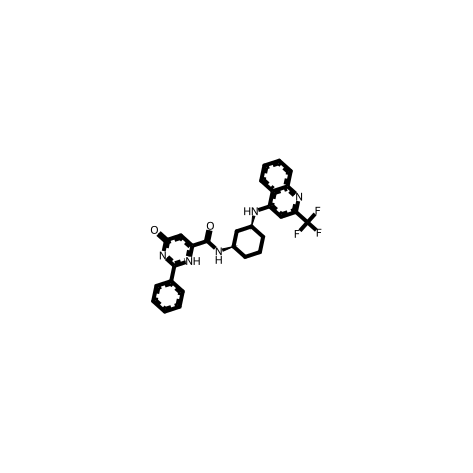 O=C(N[C@@H]1CCC[C@H](Nc2cc(C(F)(F)F)nc3ccccc23)C1)c1cc(=O)nc(-c2ccccc2)[nH]1